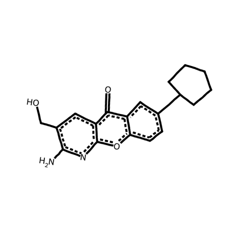 Nc1nc2oc3ccc(C4CCCCC4)cc3c(=O)c2cc1CO